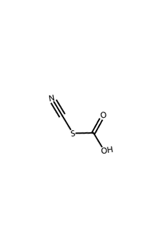 N#CSC(=O)O